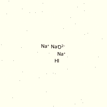 I.[Na+].[Na+].[Na+].[O-2]